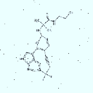 CC(C)(NC1N=CC(C#N)=C(c2c[nH]c3ncc(C(F)(F)F)cc23)N1)C(=O)NCCO